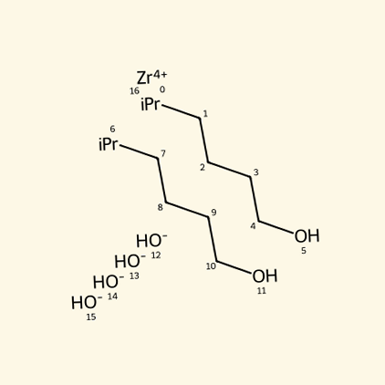 CC(C)CCCCO.CC(C)CCCCO.[OH-].[OH-].[OH-].[OH-].[Zr+4]